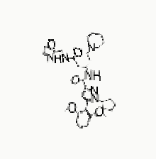 COc1cccc(OC)c1-c1cc(C(=O)N[C@@H](CCN2CCCCC2)CC(=O)NCc2ncco2)nn1C1CCCC1